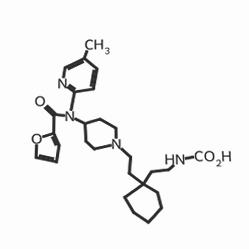 Cc1ccc(N(C(=O)c2ccco2)C2CCN(CCC3(CCNC(=O)O)CCCCC3)CC2)nc1